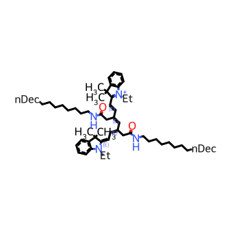 CCCCCCCCCCCCCCCCCCNC(=O)CC(=C\C=C1\N(CC)c2ccccc2C1(C)C)/C=C(/C=C/C1=[N+](CC)c2ccccc2C1(C)C)CC(=O)NCCCCCCCCCCCCCCCCCC